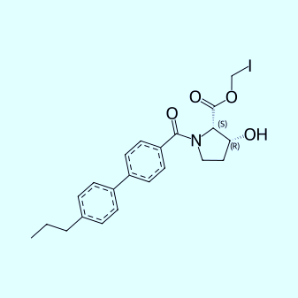 CCCc1ccc(-c2ccc(C(=O)N3CC[C@@H](O)[C@H]3C(=O)OCI)cc2)cc1